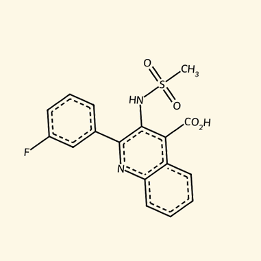 CS(=O)(=O)Nc1c(-c2cccc(F)c2)nc2ccccc2c1C(=O)O